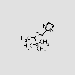 CC(OCC1N=CC=N1)[Si](C)(C)C